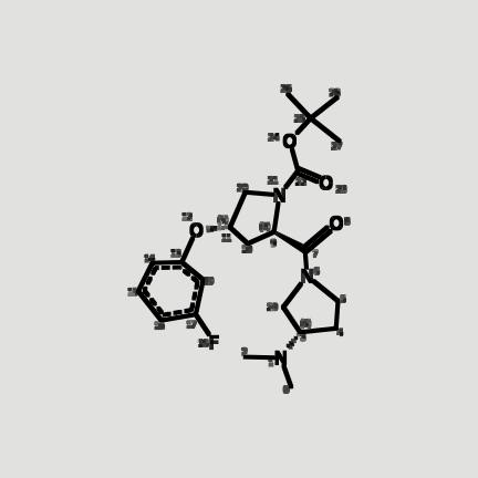 CN(C)[C@H]1CCN(C(=O)[C@H]2C[C@H](Oc3cccc(F)c3)CN2C(=O)OC(C)(C)C)C1